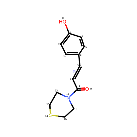 O=C(/C=C/c1ccc(O)cc1)N1CCSCC1